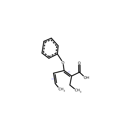 C/C=C\C(Oc1ccccc1)=C(/CC)C(=O)O